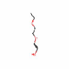 CCOCCOC=CO